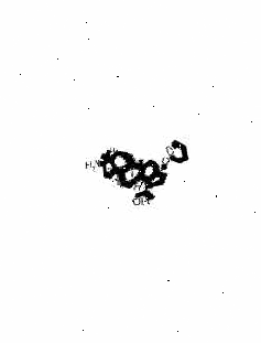 C=C(CO)[C@@H]1CC[C@]2(COC3CCCCO3)CC[C@]3(C)[C@H](CC[C@@H]4[C@@]5(C)CCC(N)C(C)(C)[C@@H]5CC[C@]43C)[C@@H]12